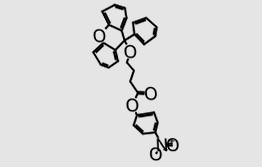 O=C(CCCOC1(c2ccccc2)c2ccccc2Oc2ccccc21)Oc1ccc([N+](=O)[O-])cc1